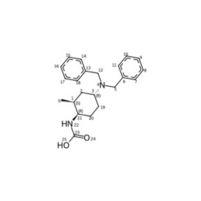 C[C@H]1C[C@H](N(Cc2ccccc2)Cc2ccccc2)CC[C@H]1NC(=O)O